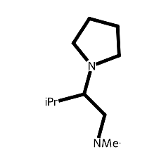 C[N]CC(C(C)C)N1CCCC1